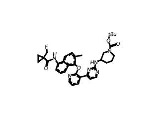 Cc1ccc2c(NC(=O)C3(CF)CC3)cccc2c1Oc1ncccc1-c1ccnc(NC2CCCN(C(=O)OC(C)(C)C)C2)n1